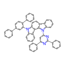 c1ccc(-c2ccc(-c3ccccc3)c(-n3c4ccccc4c4c3ccc3c5ccccc5n(-c5cc(-c6ccccc6)nc(-c6ccccc6)n5)c34)c2)cc1